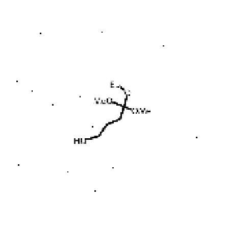 CCOC(CCCO)(OC)OC